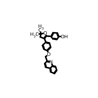 CC1(C)CC(c2ccc(OCc3ccc4ccccc4n3)cc2)=C(c2ccc(O)cc2)O1